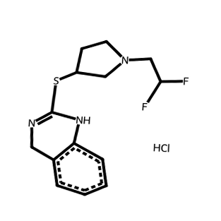 Cl.FC(F)CN1CCC(SC2=NCc3ccccc3N2)C1